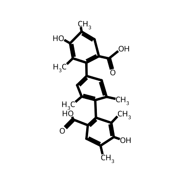 Cc1cc(C(=O)O)c(-c2cc(C)c(-c3c(C(=O)O)cc(C)c(O)c3C)c(C)c2)c(C)c1O